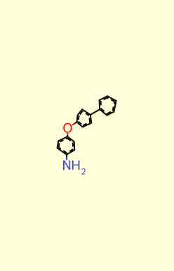 Nc1ccc(Oc2ccc(-c3ccccc3)cc2)cc1